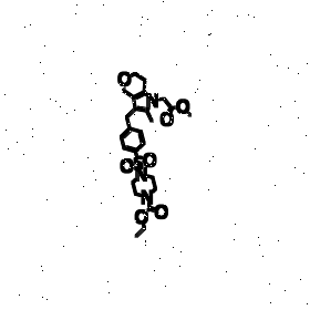 CCOC(=O)N1CCN(S(=O)(=O)c2ccc(Cc3c4c(n(CC(=O)OC)c3C)CCOC4)cc2)CC1